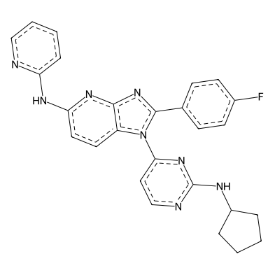 Fc1ccc(-c2nc3nc(Nc4ccccn4)ccc3n2-c2ccnc(NC3CCCC3)n2)cc1